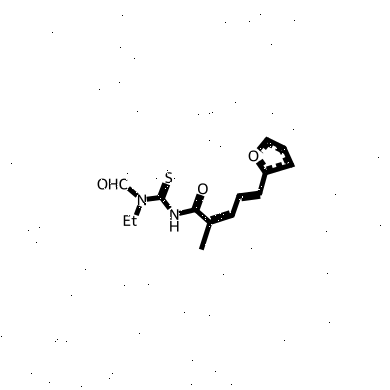 CCN(C=O)C(=S)NC(=O)/C(C)=C\C=C\c1ccco1